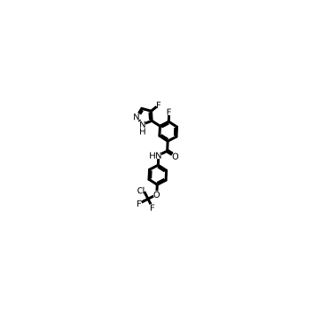 O=C(Nc1ccc(OC(F)(F)Cl)cc1)c1ccc(F)c(-c2[nH]ncc2F)c1